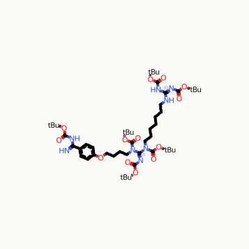 CC(C)(C)OC(=O)/N=C(/N(CCCCCCCN/C(=N\C(=O)OC(C)(C)C)NC(=O)OC(C)(C)C)C(=O)OC(C)(C)C)N(CCCCOc1ccc(C(=N)NC(=O)OC(C)(C)C)cc1)C(=O)OC(C)(C)C